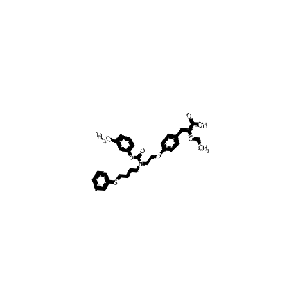 CCOC(Cc1ccc(OCCN(CCCCSc2ccccc2)C(=O)Oc2cccc(C)c2)cc1)C(=O)O